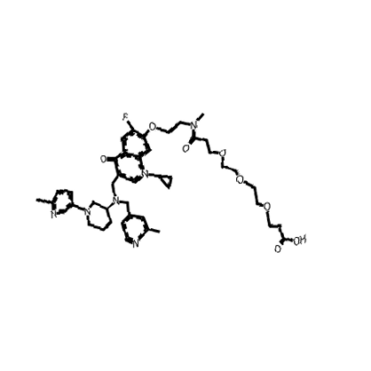 Cc1ccc(N2CCC[C@H](N(Cc3ccnc(C)c3)Cc3cn(C4CC4)c4cc(OCCN(C)C(=O)CCOCCOCCOCCC(=O)O)c(F)cc4c3=O)C2)cn1